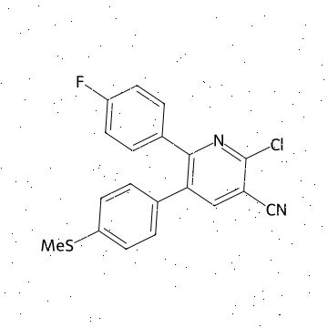 CSc1ccc(-c2cc(C#N)c(Cl)nc2-c2ccc(F)cc2)cc1